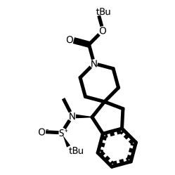 CN([C@@H]1c2ccccc2CC12CCN(C(=O)OC(C)(C)C)CC2)[S@+]([O-])C(C)(C)C